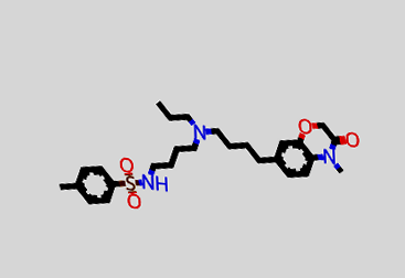 CCCN(CCCCNS(=O)(=O)c1ccc(C)cc1)CCCCc1ccc2c(c1)OCC(=O)N2C